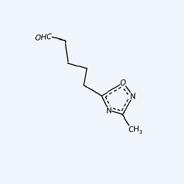 Cc1noc(CCCCC=O)n1